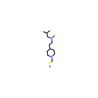 CSCN1CCC(CCN(C)CC(C)C)CC1